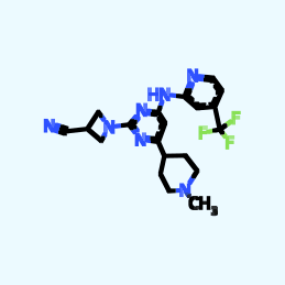 CN1CCC(c2cc(Nc3cc(C(F)(F)F)ccn3)nc(N3CC(C#N)C3)n2)CC1